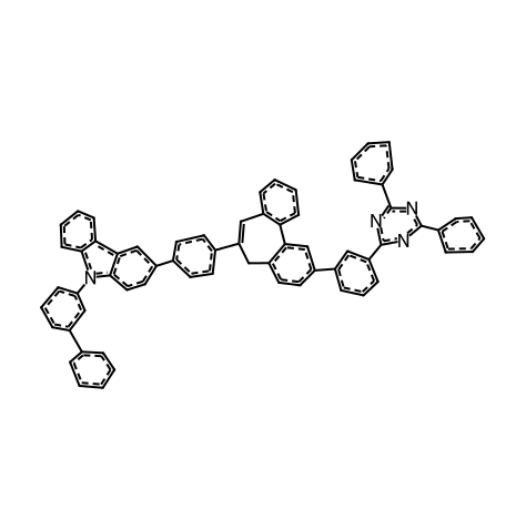 C1=C(c2ccc(-c3ccc4c(c3)c3ccccc3n4-c3cccc(-c4ccccc4)c3)cc2)Cc2ccc(-c3cccc(-c4nc(-c5ccccc5)nc(-c5ccccc5)n4)c3)cc2-c2ccccc21